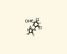 Cc1nn(C)c(Sc2cc(C=O)c(Cl)cc2Cl)c1C